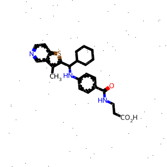 Cc1c(C(Nc2ccc(C(=O)NCCC(=O)O)cc2)C2CCCCC2)sc2ccncc12